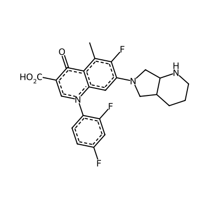 Cc1c(F)c(N2CC3CCCNC3C2)cc2c1c(=O)c(C(=O)O)cn2-c1ccc(F)cc1F